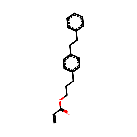 C=CC(=O)OCCCc1ccc(CCc2ccccc2)cc1